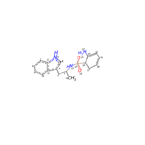 CC(Cc1c[nH]c2ccccc12)NS(=O)(=O)C1CC=CC=C1N